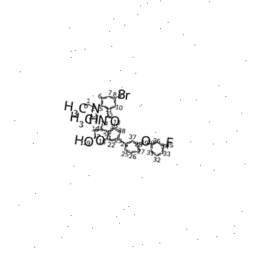 CCN(CC)c1ccc(Br)cc1C(=O)NC(CC(=O)O)c1ccc(-c2cccc(Oc3cccc(F)c3)c2)cc1